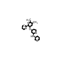 Cc1cc(Oc2ccnc(Nc3cccnc3)c2)c(-c2ccccn2)nc1C